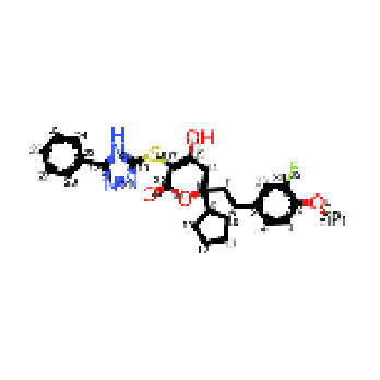 CC(C)Oc1ccc(CCC2(C3CCCC3)CC(O)=C(Sc3nnc(-c4ccccc4)[nH]3)C(=O)O2)cc1F